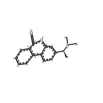 C[C@@H](c1c[c]c2c(c1)oc(=O)c1ccccc12)N(C)C